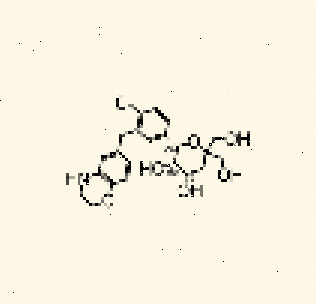 OCC1(CO)C[C@H](O)[C@@H](O)[C@H](c2ccc(Cl)c(Cc3ccc4c(c3)NCCO4)c2)O1